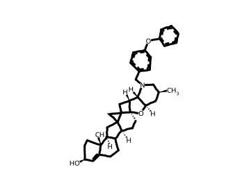 C[C@H]1C[C@H]2O[C@@]34CC[C@H]5C6CCC7=C[C@@H](O)CC[C@]7(C)[C@H]6CC56CC63C[C@@H]4[C@@H]2N(Cc2ccc(Oc3ccccc3)cc2)C1